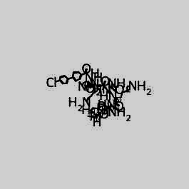 CC1(C)[C@@H]2CC3OB([C@H](N)NC(=O)[C@H](CCCCN)NC(=O)[C@H](N)NC(=O)[C@H](CCCCN)NC(=O)[C@H](CN)NC(=O)c4ccc(-c5ccc(Cl)cc5)cc4)O[C@@]3(C)[C@H]1C2